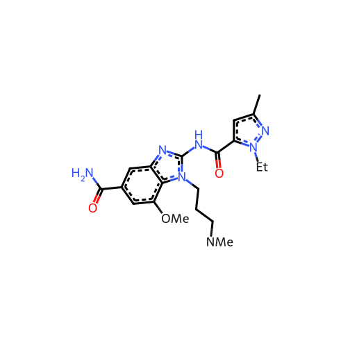 CCn1nc(C)cc1C(=O)Nc1nc2cc(C(N)=O)cc(OC)c2n1CCCNC